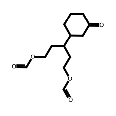 O=COCCC(CCOC=O)C1CCCC(=O)C1